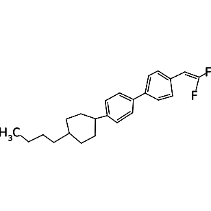 CCCCC1CCC(c2ccc(-c3ccc(C=C(F)F)cc3)cc2)CC1